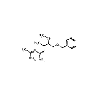 CNC(COCc1ccccc1)C(C)CN(C)N=C(C)C